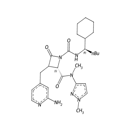 CCCC[C@@H](NC(=O)N1C(=O)C(Cc2ccnc(N)c2)[C@H]1C(=O)N(C)c1ccn(C)n1)C1CCCCC1